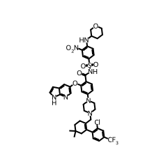 CC1(C)CCC(CN2CCN(c3ccc(C(=O)NS(=O)(=O)c4ccc(NC5CCCOC5)c([N+](=O)[O-])c4)c(Oc4cnc5[nH]ccc5c4)c3)CC2)=C(c2ccc(C(F)(F)F)cc2Cl)C1